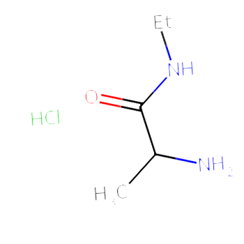 CCNC(=O)C(C)N.Cl